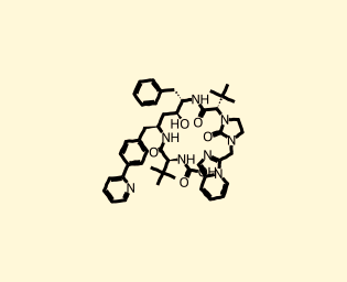 CC(C)(C)[C@H](NC(=O)O)C(=O)N[C@@H](Cc1ccc(-c2ccccn2)cc1)C[C@H](O)[C@H](Cc1ccccc1)NC(=O)[C@@H](N1CCN(Cc2ncc3ccccn23)C1=O)C(C)(C)C